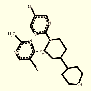 Cc1ncc(Cl)c([C@H]2CC(C3CCNCC3)CCN2c2ncc(Cl)cn2)n1